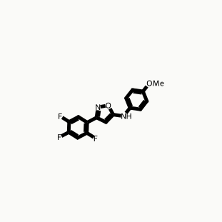 COc1ccc(Nc2cc(-c3cc(F)c(F)cc3F)no2)cc1